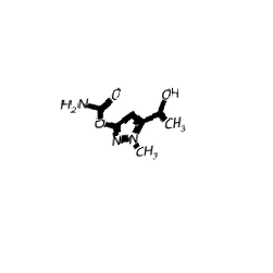 CC(O)c1cc(OC(N)=O)nn1C